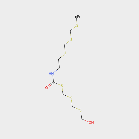 CCCSCSCSCCNC(=O)SCSCSCO